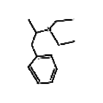 CCN(CC)C(C)Cc1ccccc1